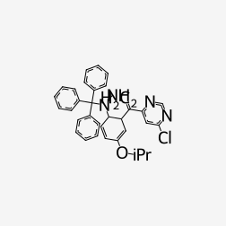 C=C(c1cc(Cl)ncn1)C1C=C(OC(C)C)C=CC1N(N)C(c1ccccc1)(c1ccccc1)c1ccccc1